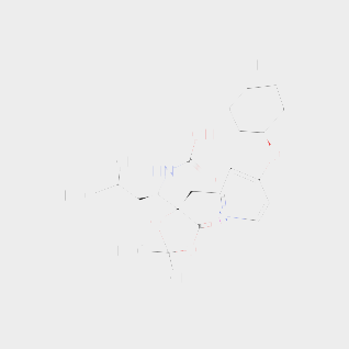 CC(C)C[C@@H](NC(=O)O)[C@@]1(Cc2cc(O[C@H]3CC[C@H](C)CC3)ccn2)OC(C)(C)OC1=O